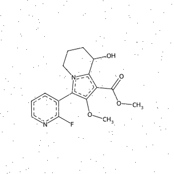 COC(=O)c1c(OC)c(-c2cccnc2F)n2c1C(O)CCC2